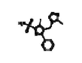 Cc1c(S(N)(=O)=O)sc(-c2ccccc2)c1Cn1ccnc1C